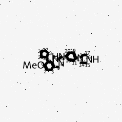 COC1=CCc2cnc(Nc3ccc(N4CCNCC4)cc3)nc2C1C1CCCC1